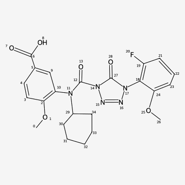 COc1ccc(C(=O)O)cc1N(C(=O)n1nnn(-c2c(F)cccc2OC)c1=O)C1CCCCC1